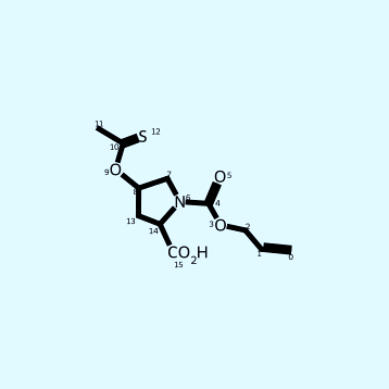 C=CCOC(=O)N1CC(OC(C)=S)CC1C(=O)O